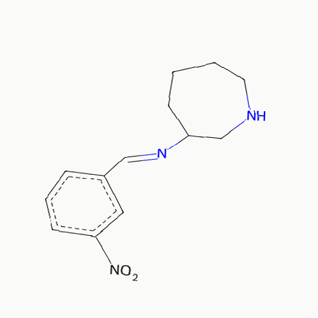 O=[N+]([O-])c1cccc(C=NC2CCCCNC2)c1